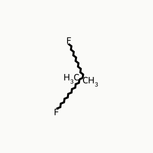 CC(CCCCCCCCCCCCF)C(C)CCCCCCCCCCCCF